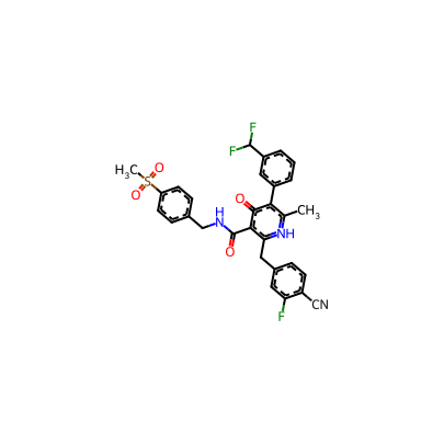 Cc1[nH]c(Cc2ccc(C#N)c(F)c2)c(C(=O)NCc2ccc(S(C)(=O)=O)cc2)c(=O)c1-c1cccc(C(F)F)c1